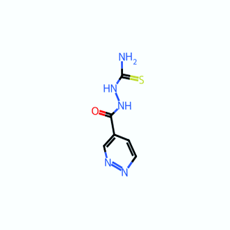 NC(=S)NNC(=O)c1ccnnc1